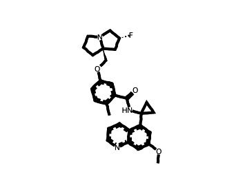 COc1cc(C2(NC(=O)c3cc(OC[C@@]45CCCN4C[C@H](F)C5)ccc3C)CC2)c2cccnc2c1